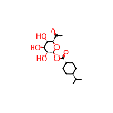 CC(=O)[C@H]1OC(OC(=O)[C@H]2CC[C@H](C(C)C)CC2)[C@H](O)[C@@H](O)[C@@H]1O